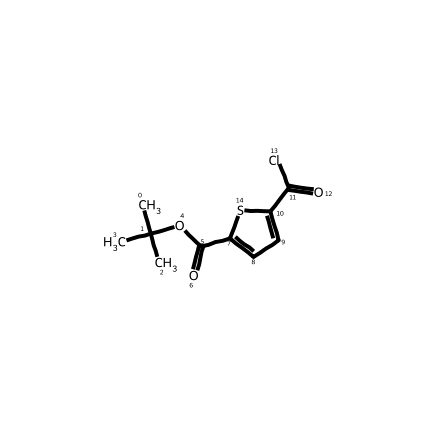 CC(C)(C)OC(=O)c1ccc(C(=O)Cl)s1